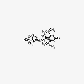 CC(C)c1cc(F)cc(C(C)C)c1-n1cc(Sc2nc(C(C)(C)O)cs2)cn1